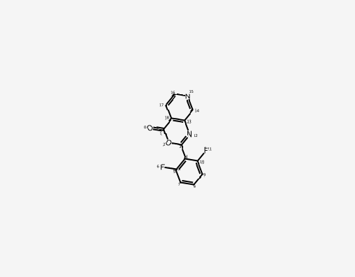 O=c1oc(-c2c(F)cccc2F)nc2cnccc12